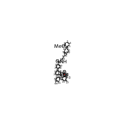 COc1ccccc1N1CCN(CCCCNC(=O)c2ccc(-c3cccc(S(OS(=O)(=O)C(F)(F)F)(c4ccc(C)cc4)c4ccc(C)cc4)n3)cc2)CC1